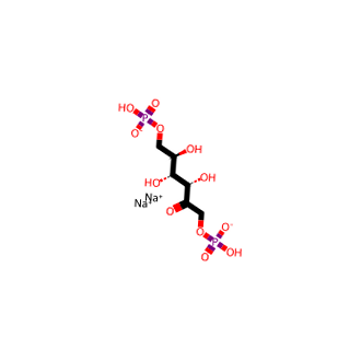 O=C(COP(=O)([O-])O)[C@@H](O)[C@H](O)[C@H](O)COP(=O)([O-])O.[Na+].[Na+]